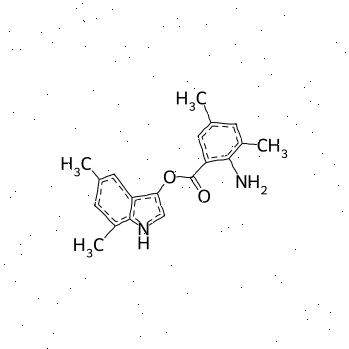 Cc1cc(C)c(N)c(C(=O)Oc2c[nH]c3c(C)cc(C)cc23)c1